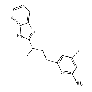 Cc1cc(N)nc(CCC(C)c2nc3cccnc3[nH]2)c1